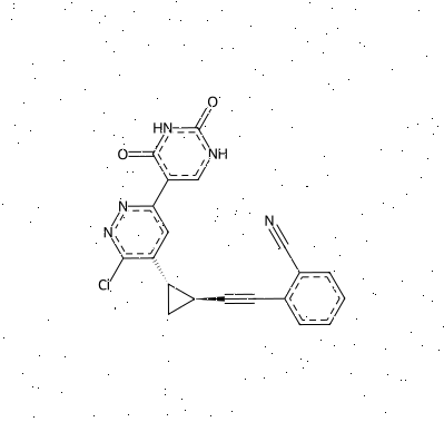 N#Cc1ccccc1C#C[C@H]1C[C@@H]1c1cc(-c2c[nH]c(=O)[nH]c2=O)nnc1Cl